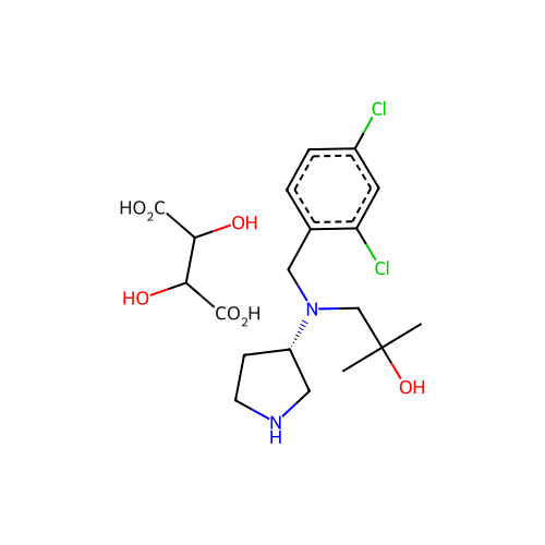 CC(C)(O)CN(Cc1ccc(Cl)cc1Cl)[C@H]1CCNC1.O=C(O)C(O)C(O)C(=O)O